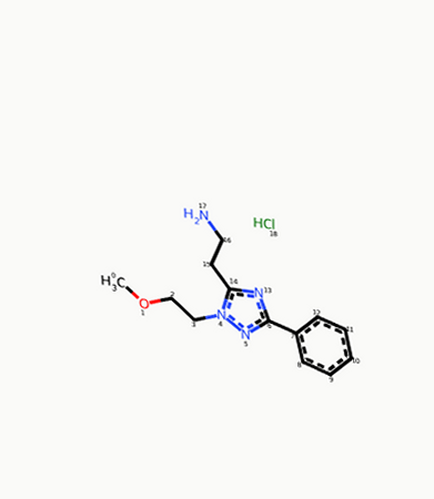 COCCn1nc(-c2ccccc2)nc1CCN.Cl